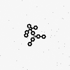 c1ccc(-c2ccc(N(c3ccc(-c4ccccc4)cc3)c3ccc(-c4c(-c5ccccc5)c5ccccn5c4-c4ccc5ccccc5c4)cc3)cc2)cc1